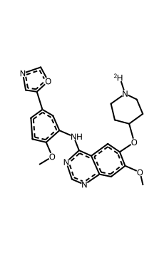 [2H]N1CCC(Oc2cc3c(Nc4cc(-c5cnco5)ccc4OC)ncnc3cc2OC)CC1